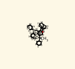 CC(C)(c1ccccc1)c1ccc(C23CC4CC(CC(C4)C2CP)C3)c(CP(c2cccnc2)c2cccnc2)c1